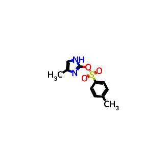 Cc1ccc(S(=O)(=O)Oc2nc(C)c[nH]2)cc1